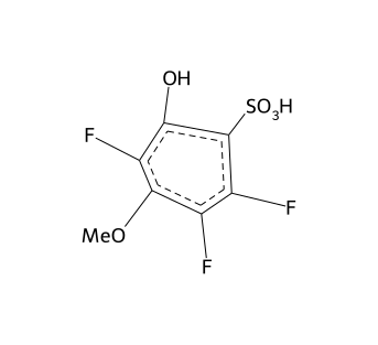 COc1c(F)c(O)c(S(=O)(=O)O)c(F)c1F